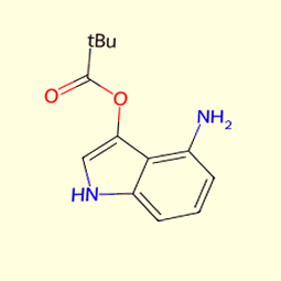 CC(C)(C)C(=O)Oc1c[nH]c2cccc(N)c12